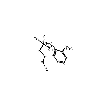 CCOC(=O)c1ccccc1C(=O)OCC.FC(F)(P)CCCBr